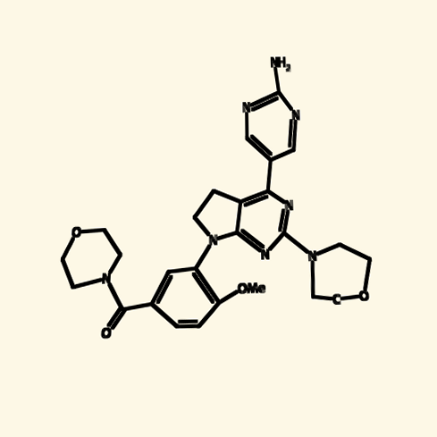 COc1ccc(C(=O)N2CCOCC2)cc1N1CCc2c(-c3cnc(N)nc3)nc(N3CCOCC3)nc21